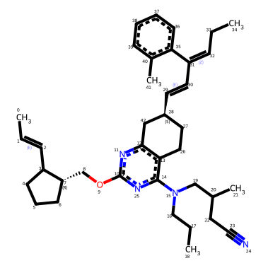 C/C=C/C1CCC[C@H]1COc1nc2c(c(N(CCC)CC(C)CC#N)n1)CC[C@H](/C=C/C(=C/CC)c1ccccc1C)C2